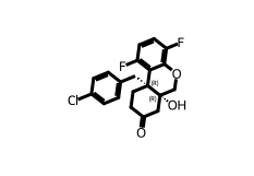 O=C1CC[C@@]2(Cc3ccc(Cl)cc3)c3c(F)ccc(F)c3OC[C@@]2(O)C1